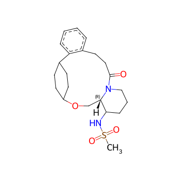 CS(=O)(=O)NC1CCCN2C(=O)CCc3ccccc3C3CCC(CC3)OC[C@@H]12